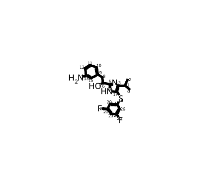 CC(C)c1nc(C(O)Cc2cccc(N)c2)[nH]c1Sc1cc(F)cc(F)c1